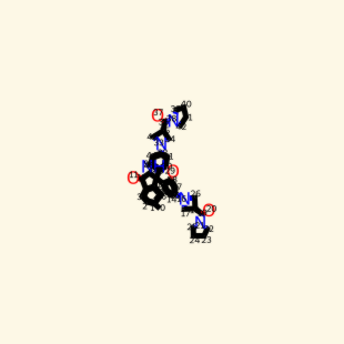 Cc1ccc2c(c1)C1(C(=N)C2=O)c2ccc(N3CC(C(=O)N4CCCC4)C3)cc2Oc2cc(N3CC(C(=O)N4CCCC4)C3)ccc21